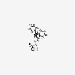 OC(=S)CCCc1nn(-c2ccccc2)c2c1CCCC2